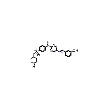 O=S(=O)(CC1CCNCC1)c1ccc(Nc2ncc(/C=C/c3cccc(O)c3)cn2)cc1